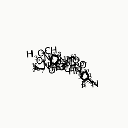 CC(C)n1c(=O)n(CC2CC2)c(=O)c2c(F)c(NC(C)(O)N3CCO[C@@H](C(=O)Nc4ccc(C#N)c(F)c4)C3)ccc21